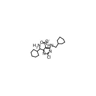 NC(c1nc(Cl)nc(NCC2CCCCC2)c1[N+](=O)[O-])C1CCCCC1